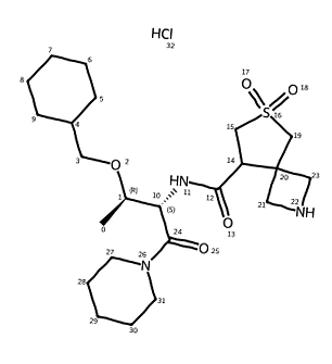 C[C@@H](OCC1CCCCC1)[C@H](NC(=O)C1CS(=O)(=O)CC12CNC2)C(=O)N1CCCCC1.Cl